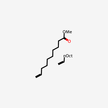 C=CCCCCCCCC.C=CCCCCCCCC(=O)OC